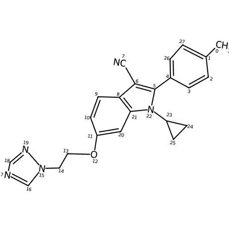 Cc1ccc(-c2c(C#N)c3ccc(OCCn4cncn4)cc3n2C2CC2)cc1